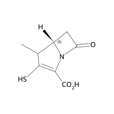 CC1C(S)=C(C(=O)O)N2C(=O)C[C@@H]12